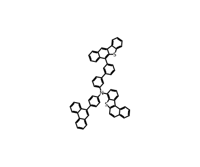 c1cc(-c2cccc(N(c3ccc(-c4cc5ccccc5c5ccccc45)cc3)c3cccc4c3sc3ccc5ccccc5c34)c2)cc(-c2c3ccccc3cc3c2sc2ccccc23)c1